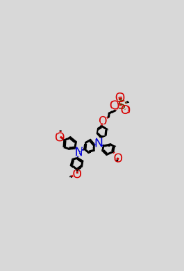 COc1ccc(N(c2ccc(OC)cc2)c2ccc(N(c3ccc(OC)cc3)c3ccc(OCCCOS(C)(=O)=O)cc3)cc2)cc1